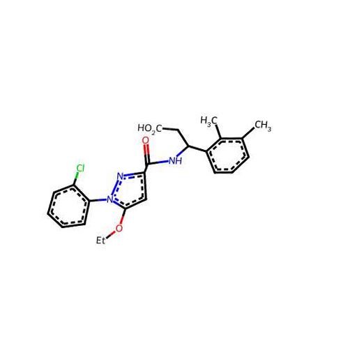 CCOc1cc(C(=O)NC(CC(=O)O)c2cccc(C)c2C)nn1-c1ccccc1Cl